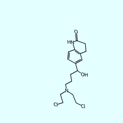 O=C1CCc2cc(C(O)CCCN(CCCl)CCCl)ccc2N1